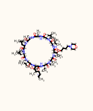 C/C=C/C[C@@H](C)[C@H]1ON2C(=O)[C@H](C(C)C)N(C)C(=O)[C@H](CC(C)C)N(C)C(=O)C(CC(C)C)N(C)C(=O)[C@@H](C)NC(=O)[C@H](C)NC(=O)[C@H](CC(C)C)N(C)C(=O)[C@H](C(C)C)NC(=O)[C@H]([C@@H](C)OCCCCN3CCOCC3)N(C)C(=O)[C@@H](C)N(C)C(=O)[C@H](CC)NC(=O)[C@H]12